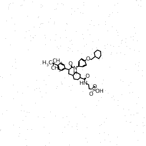 CC(C)(C)c1ccc(C(CC2CCC(C(=O)NCCS(=O)(=O)O)CC2)C(=O)Nc2ccc(OCC3CCCCC3)cc2)cc1